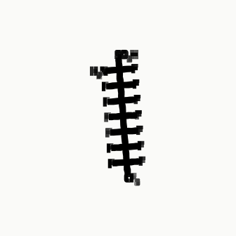 NC(F)(C(F)(F)C(F)(F)C(F)(F)C(F)(F)C(F)(F)C(F)(F)C(F)(F)F)S(=O)(=O)O